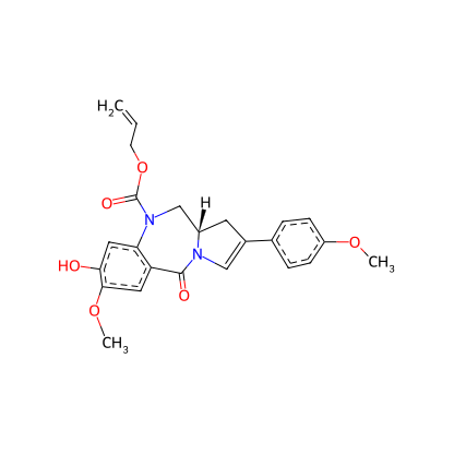 C=CCOC(=O)N1C[C@@H]2CC(c3ccc(OC)cc3)=CN2C(=O)c2cc(OC)c(O)cc21